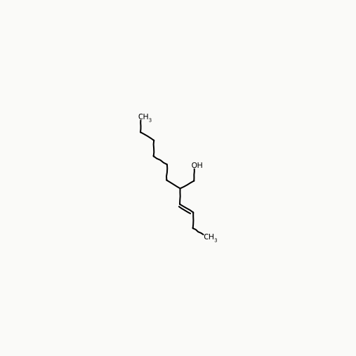 CCC=CC(CO)CCCCCC